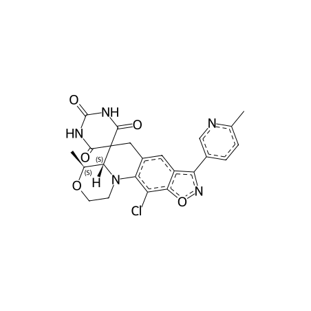 Cc1ccc(-c2noc3c(Cl)c4c(cc23)CC2(C(=O)NC(=O)NC2=O)[C@H]2[C@H](C)OCCN42)cn1